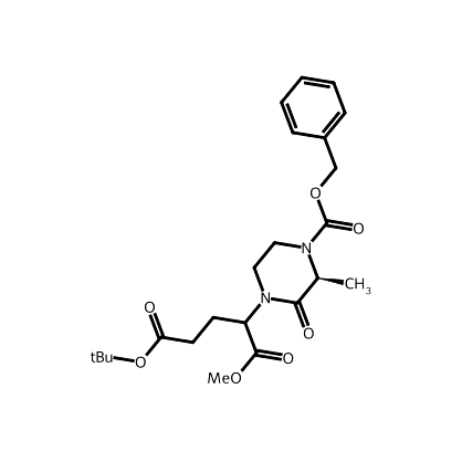 COC(=O)C(CCC(=O)OC(C)(C)C)N1CCN(C(=O)OCc2ccccc2)[C@@H](C)C1=O